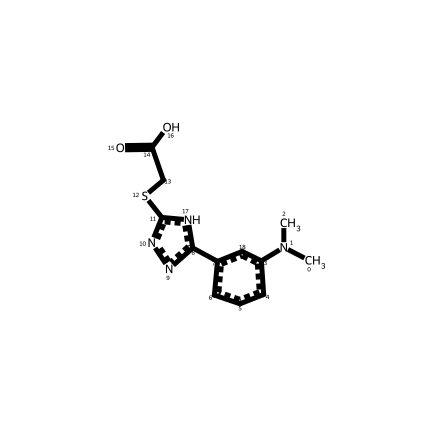 CN(C)c1cccc(-c2nnc(SCC(=O)O)[nH]2)c1